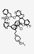 Cc1c(-c2c(-c3ccc(F)cc3)sc3ncnc(OC(Cc4ccccc4OCc4ccnc(-c5cccc(O)c5)n4)C(=O)O)c23)ccc(OCCN2CCN(C)CC2)c1Cl